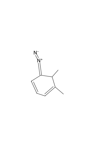 CC1=CC=CC(=[N+]=[N-])C1C